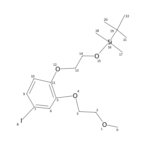 COCCOc1cc(I)ccc1OCCO[Si](C)(C)C(C)(C)C